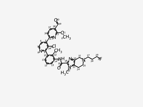 COc1nc(-c2ccnc(-c3cccc(NC(=O)c4nc5c(n4C)CCN(CCCF)C5)c3C)c2Cl)ccc1C=O